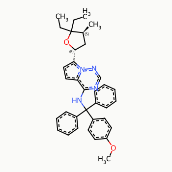 CCC1(CC)O[C@@H](c2ccc3c(NC(c4ccccc4)(c4ccccc4)c4ccc(OC)cc4)ncnn23)C[C@@H]1C